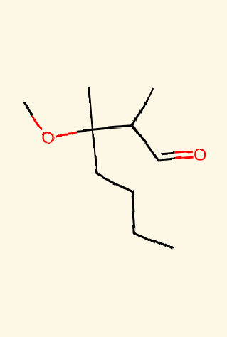 CCCCC(C)(OC)C(C)C=O